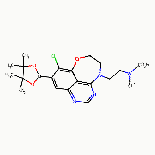 CN(CCN1CCOc2c(Cl)c(B3OC(C)(C)C(C)(C)O3)cc3ncnc1c23)C(=O)O